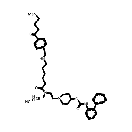 CNCCCC(=O)c1ccc(CNCCCCCC(=O)N(C)CCN2CCC(OC(=O)Nc3ccccc3-c3ccccc3)CC2)cc1.Cl.Cl.Cl